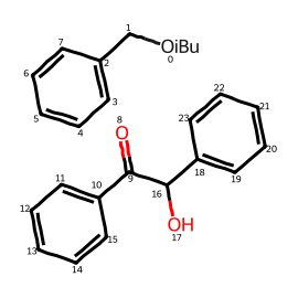 CC(C)COCc1ccccc1.O=C(c1ccccc1)C(O)c1ccccc1